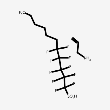 C=CCN.O=S(=O)(O)C(F)(F)C(F)(F)C(F)(F)C(F)(F)C(F)(F)CCCCCC(F)(F)F